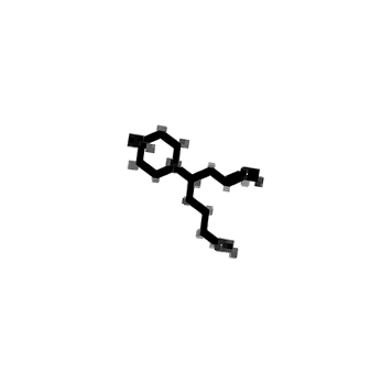 C=CCC(CCCC)N1CCNCC1